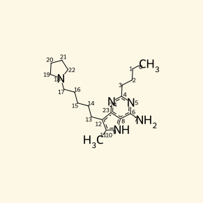 CCCCc1nc(N)c2[nH]c(C)c(CCCCCN3CCCC3)c2n1